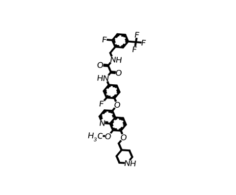 COc1c(OCC2CCNCC2)ccc2c(Oc3ccc(NC(=O)C(=O)NCc4cc(C(F)(F)F)ccc4F)cc3F)ccnc12